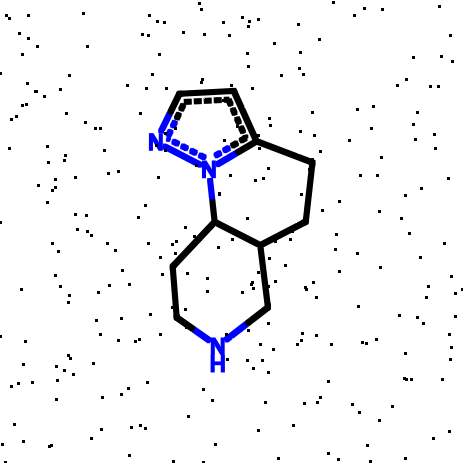 c1cc2n(n1)C1CCNCC1CC2